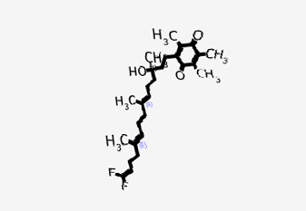 CC1=C(C)C(=O)C(CC[C@](C)(O)CC/C=C(\C)CC/C=C(\C)CCC=C(F)F)=C(C)C1=O